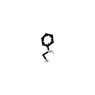 BrC[SiH2]c1ccccc1